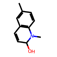 Cc1ccc2c(c1)C=CC(O)N2C